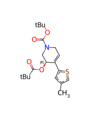 Cc1csc(C2=CCN(C(=O)OC(C)(C)C)C[C@@H]2OC(=O)C(C)(C)C)c1